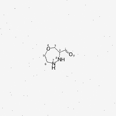 O=[C]C1COCCNN1